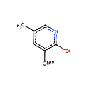 COc1cc(C(F)(F)F)cnc1Br